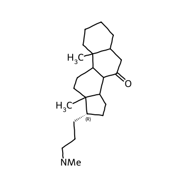 CNCCC[C@H]1CCC2C3C(=O)CC4CCCCC4(C)C3CCC21C